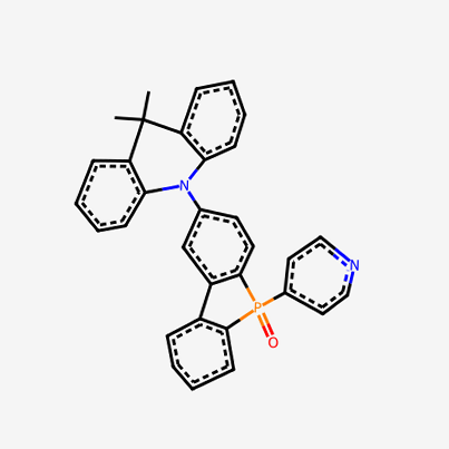 CC1(C)c2ccccc2N(c2ccc3c(c2)-c2ccccc2P3(=O)c2ccncc2)c2ccccc21